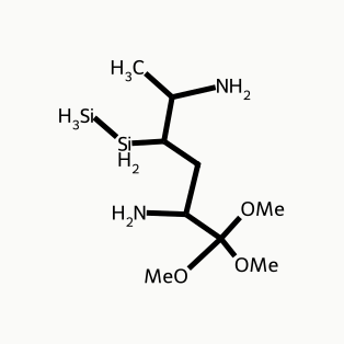 COC(OC)(OC)C(N)CC([SiH2][SiH3])C(C)N